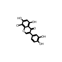 O=c1c(-c2ccc(O)c(O)c2)coc2c(Cl)c(O)cc(O)c12